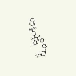 CN1CCCN(Cc2ccc(-c3cccc(-n4c(=O)n(C5CCC(NC(=O)c6cnc7ccccc7n6)CC5)c(=O)c5cc(F)cnc54)c3)cc2)CC1